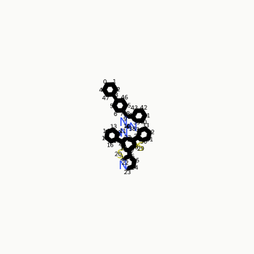 c1ccc(-c2ccc(-c3nc(-n4c5ccccc5c5c6sc7ncccc7c6c6sc7ccccc7c6c54)nc4ccccc34)cc2)cc1